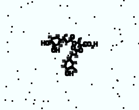 C/C(=C\C(=O)OC(C)C(OC(=O)/C=C/c1ccc(O)c(C)c1)C(=O)O)c1ccc(O)c(O)c1